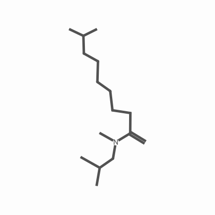 C=C(CCCCCCC(C)C)N(C)CC(C)C